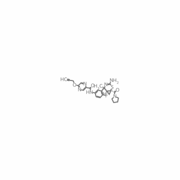 C#CCOc1cnc(C(=O)Nc2ccc(F)c([C@]3(C)N=C(N)S[C@@]4(C(=O)N5CCCC5)C[C@@H]34)c2)cn1